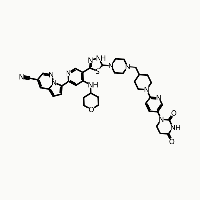 N#Cc1cnn2c(-c3cc(NC4CCOCC4)c(C4=NNC(N5CCN(CC6CCN(c7ccc(N8CCC(=O)NC8=O)cn7)CC6)CC5)S4)cn3)ccc2c1